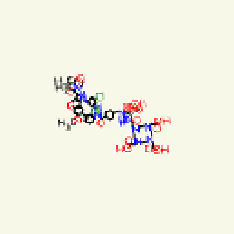 COc1cc2c(cc1-c1cccc(NC(=O)C3CCC(CNC(=O)[C@H](CS(=O)(=O)O)NC(=O)CN4CCN(CC(=O)O)CCN(CC(=O)O)CCN(CC(=O)O)CC4)CC3)c1)-c1c(c(C(=O)N3CCOCC3(C)C)nn1-c1cc(Cl)cc(Cl)c1)CO2